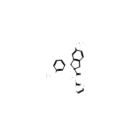 COc1ccc2c(c1)[C@@H](c1cccc(O)c1)[C@@](C)(C(=O)Nc1nccs1)C2